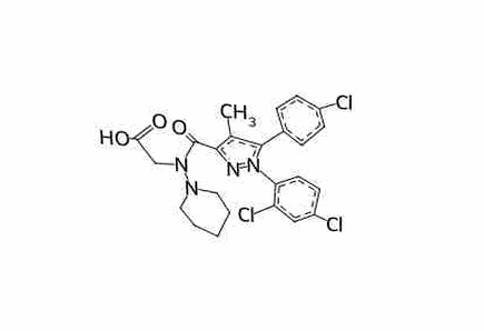 Cc1c(C(=O)N(CC(=O)O)N2CCCCC2)nn(-c2ccc(Cl)cc2Cl)c1-c1ccc(Cl)cc1